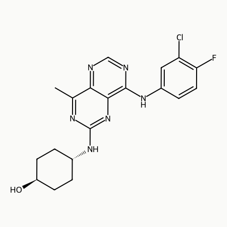 Cc1nc(N[C@H]2CC[C@H](O)CC2)nc2c(Nc3ccc(F)c(Cl)c3)ncnc12